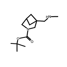 CNCC12CC(CN(C(=O)OC(C)(C)C)C1)C2